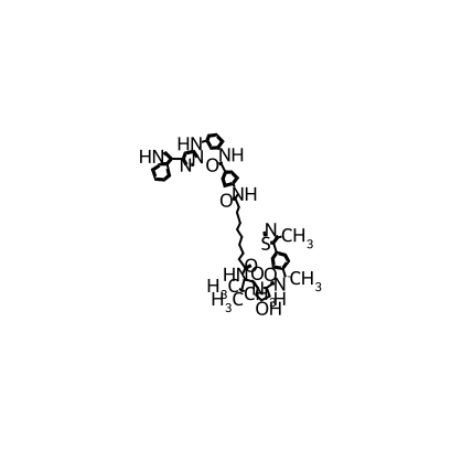 Cc1ncsc1-c1ccc([C@H](C)NC(=O)C2C[C@@H](O)CN2C(=O)[C@@H](NC(=O)CCCCCCCCC(=O)Nc2ccc(C(=O)Nc3cccc(Nc4cc(-c5c[nH]c6ccccc56)ncn4)c3)cc2)C(C)(C)C)cc1